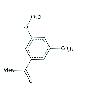 CNC(=O)c1cc(OC=O)cc(C(=O)O)c1